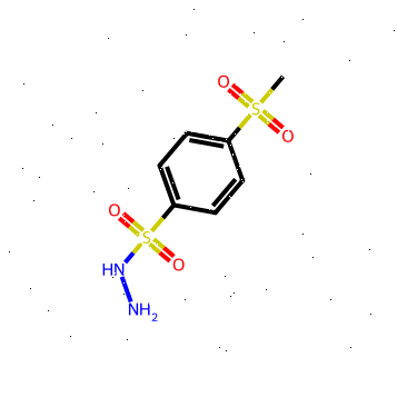 CS(=O)(=O)c1ccc(S(=O)(=O)NN)cc1